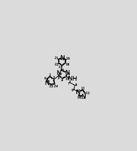 c1cc(-c2cc(NCCCn3ccnc3)nc(-c3ccncc3)n2)ccn1